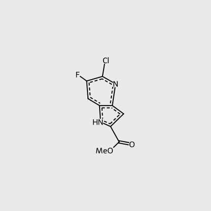 COC(=O)c1cc2nc(Cl)c(F)cc2[nH]1